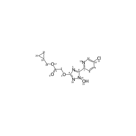 O=C(COc1nc(-c2ccc(Cl)cn2)n(O)n1)OCC1CC1